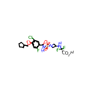 O=C(NS(=O)(=O)N1CC(NC(F)(F)C(=O)O)C1)c1cc(Cl)c(OCC2CCCC2)cc1F